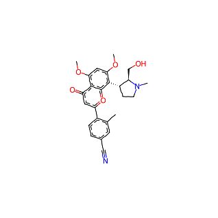 COc1cc(OC)c2c(=O)cc(-c3ccc(C#N)cc3C)oc2c1[C@H]1CCN(C)[C@@H]1CO